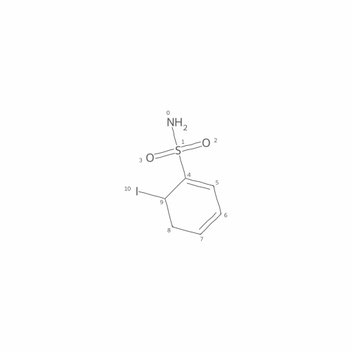 NS(=O)(=O)C1=CC=CCC1I